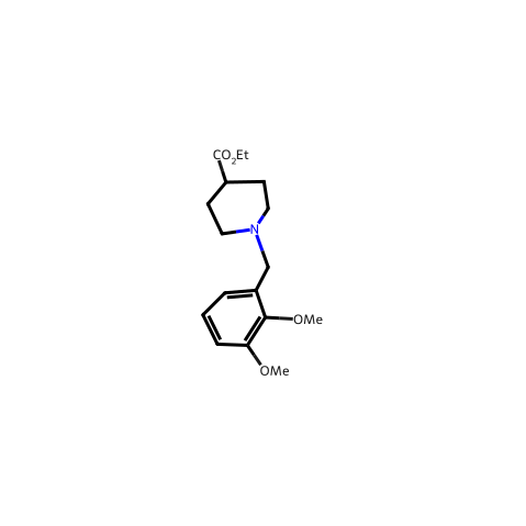 CCOC(=O)C1CCN(Cc2cccc(OC)c2OC)CC1